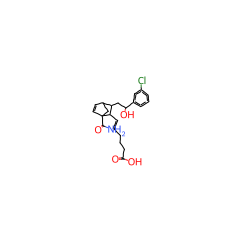 NC(=O)C12C=CC(C1)C(CC(O)c1cccc(Cl)c1)C2C=CCCCC(=O)O